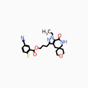 CCn1nc(CCCOC(=O)c2cc(C#N)ccc2F)c2c1C(=O)NCC1(CCOCC1)C2